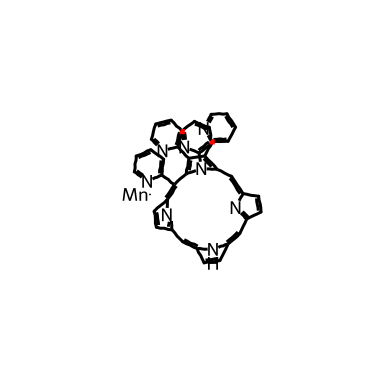 C1=Cc2cc3c(-c4ccccn4)c(-c4ccccn4)c(c(-c4ccccn4)c4nc(cc5ccc(cc1n2)[nH]5)C=C4)n3-c1ccccn1.[Mn]